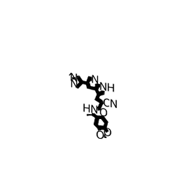 C[C@@H](NC(=O)/C(C#N)=C/c1c[nH]c2ncc(-c3cnn(C)c3)cc12)c1ccc2c(c1)OCO2